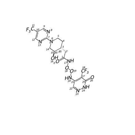 O=C(C[C@H]1CCN(c2ncc(C(F)(F)F)cn2)C[C@@H]1O)NOONc1cn[nH]c(=O)c1C(F)(F)F